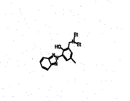 CCN(CC)Cc1cc(C)cc(-n2nc3ccccc3n2)c1O